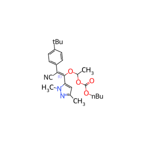 CCCCOC(=O)OC(C)O/C(=C(/C#N)c1ccc(C(C)(C)C)cc1)c1cc(C)nn1C